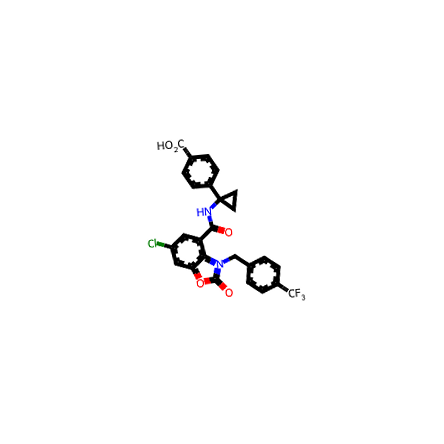 O=C(O)c1ccc(C2(NC(=O)c3cc(Cl)cc4oc(=O)n(Cc5ccc(C(F)(F)F)cc5)c34)CC2)cc1